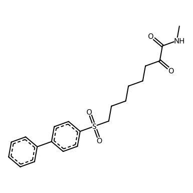 CNC(=O)C(=O)CCCCCCS(=O)(=O)c1ccc(-c2ccccc2)cc1